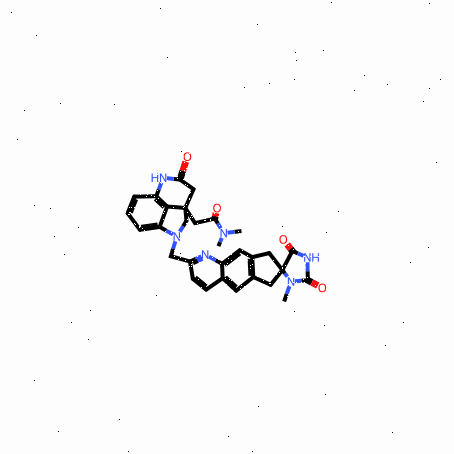 CN(C)C(=O)CC12CC(=O)Nc3cccc(c31)N(Cc1ccc3cc4c(cc3n1)CC1(C4)C(=O)NC(=O)N1C)C2